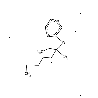 CCCCCC(C)(CC)Oc1cccnc1